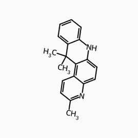 Cc1ccc2c3c(ccc2n1)Nc1ccccc1C3(C)C